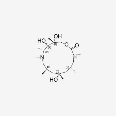 C[C@H]1C[C@@H](C)C(=O)OC[C@@](C)(O)[C@H](O)[C@@H](C)N(C)C[C@H](C)C[C@@](C)(O)C1